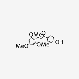 COc1cc(OC)c(CCC(=O)c2ccc(O)cc2)c(OC)c1